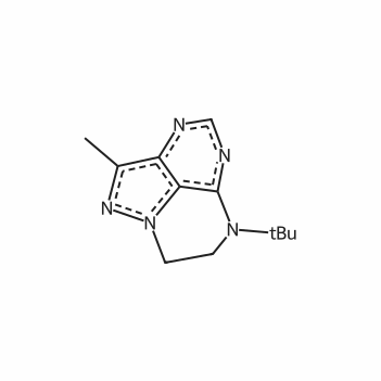 Cc1nn2c3c(ncnc13)N(C(C)(C)C)CC2